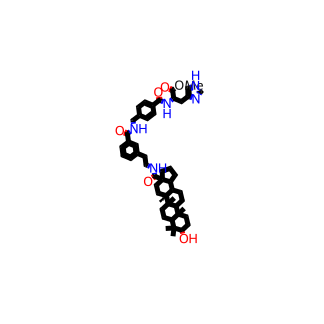 COC(=O)C(Cc1c[nH]cn1)NC(=O)C1=CCC(CNC(=O)c2cccc(CCNC(=O)C34CCCC3C3CCC5C6(C)CCC(O)C(C)(C)C6CCC5(C)[C@]3(C)CC4)c2)C=C1